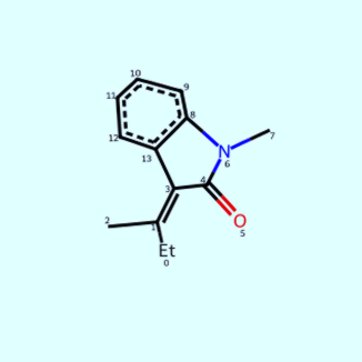 CC/C(C)=C1\C(=O)N(C)c2ccccc21